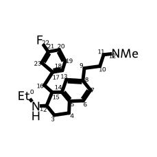 CCNC1CCc2ccc(CCCNC)cc2C1Cc1cccc(F)c1